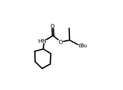 CC(OC(=O)NC1CCCCC1)C(C)(C)C